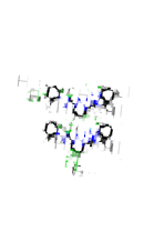 CC(=Nc1c(C)cc(C)cc1Cl)c1cccc(C(C)=Nc2c(C)cc(C)cc2Cl)n1.CC(=Nc1c(C)cccc1Cl)c1cccc(C(C)=Nc2c(C)cccc2Cl)n1.[Cl-].[Cl-].[Cl-].[Cl-].[Fe+2].[Fe+2]